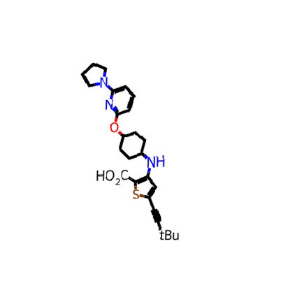 CC(C)(C)C#Cc1cc(NC2CCC(Oc3cccc(N4CCCC4)n3)CC2)c(C(=O)O)s1